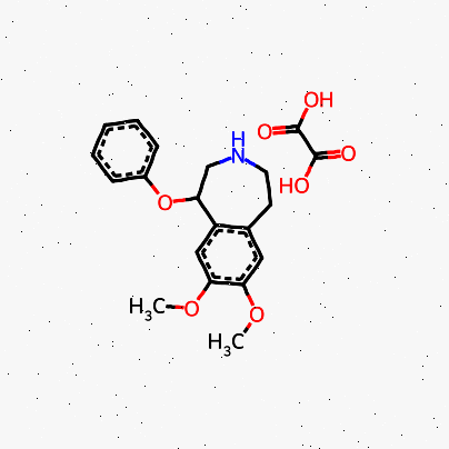 COc1cc2c(cc1OC)C(Oc1ccccc1)CNCC2.O=C(O)C(=O)O